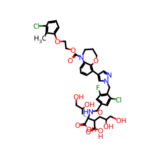 Cc1c(Cl)cccc1OCCOC(=O)N1CCCOc2c(-c3cnn(Cc4c(F)cc(C(=O)N[C@](CC(O)CO)(C(=O)O)C(CC(O)CO)C(=O)O)cc4Cl)c3)cccc21